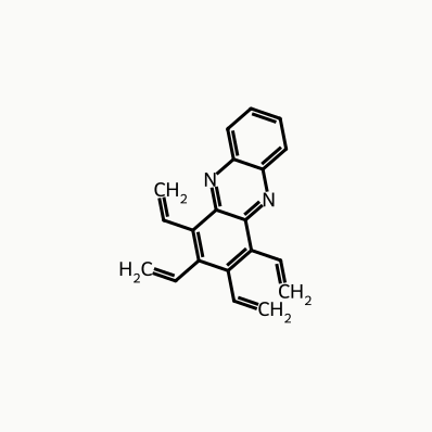 C=Cc1c(C=C)c(C=C)c2nc3ccccc3nc2c1C=C